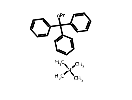 CCCC(c1ccccc1)(c1ccccc1)c1ccccc1.C[N+](C)(C)C